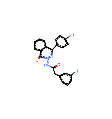 O=C(Cc1cccc(Cl)c1)Nn1nc(-c2ccc(Cl)cc2)c2ccccc2c1=O